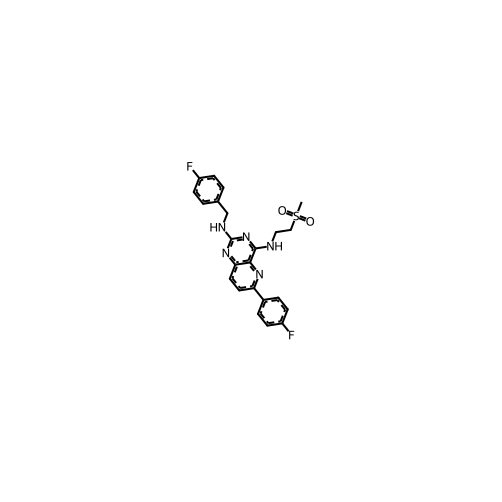 CS(=O)(=O)CCNc1nc(NCc2ccc(F)cc2)nc2ccc(-c3ccc(F)cc3)nc12